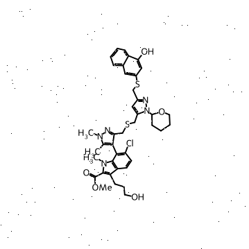 COC(=O)c1c(CCCO)c2ccc(Cl)c(-c3c(CSCc4cc(CSc5cc(O)c6ccccc6c5)nn4C4CCCCO4)nn(C)c3C)c2n1C